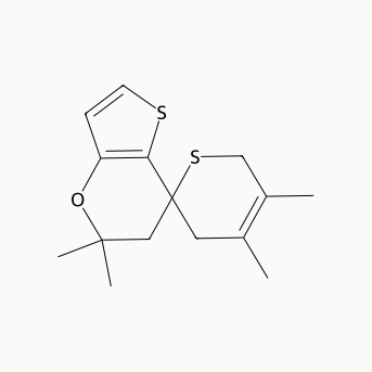 CC1=C(C)CC2(CC(C)(C)Oc3ccsc32)SC1